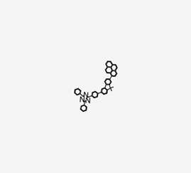 CC1(C)c2ccc(-c3ccc(-c4nc(-c5ccccc5)nc(-c5ccccc5)n4)cc3)cc2-c2ccc(-c3ccc4ccc5cccc6ccc3c4c56)cc21